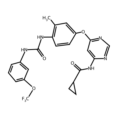 Cc1cc(Oc2cc(NC(=O)C3CC3)ncn2)ccc1NC(=O)Nc1cccc(OC(F)(F)F)c1